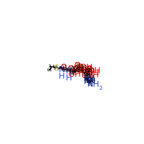 CCC(C)C=CSCCNC(=O)CCNC(=O)[C@H](O)C(C)(C)COP(=O)(O)OP(=O)(O)OC[C@H]1O[C@@H](n2cnc3c(N)ncnc32)[C@H](O)[C@@H]1OP(=O)(O)O